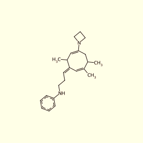 C/C1=C/C(=C\CCNc2ccccc2)C(C)/C=C(/N2CCC2)CC1C